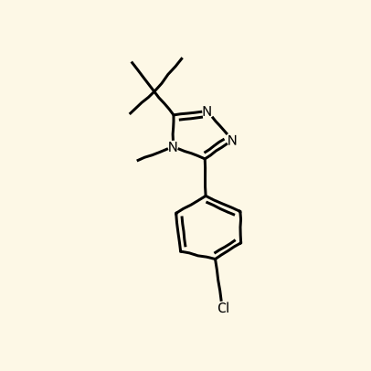 Cn1c(-c2ccc(Cl)cc2)nnc1C(C)(C)C